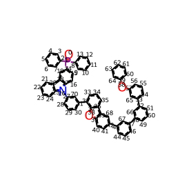 O=P(c1ccccc1)(c1ccccc1)c1ccc2c(c1)c1ccccc1n2-c1cccc(-c2cccc3c2oc2ccc(-c4cccc(-c5cccc(-c6cccc(Oc7ccccc7)c6)c5)c4)cc23)c1